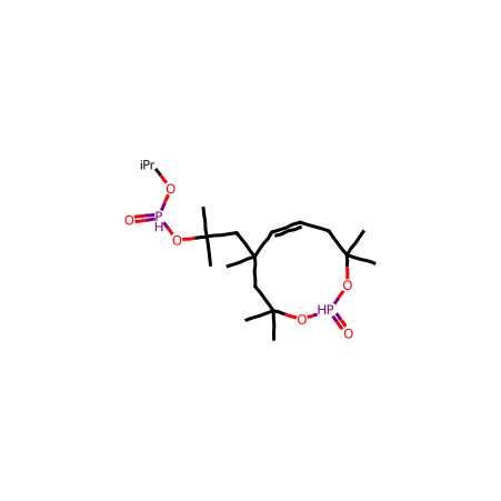 CC(C)O[PH](=O)OC(C)(C)CC1(C)C=CCC(C)(C)O[PH](=O)OC(C)(C)C1